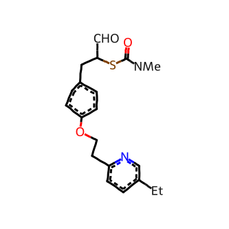 CCc1ccc(CCOc2ccc(CC(C=O)SC(=O)NC)cc2)nc1